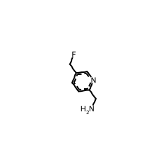 NCc1ccc(CF)cn1